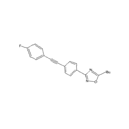 CCC(C)c1nc(-c2ccc(C#Cc3ccc(F)cc3)cc2)no1